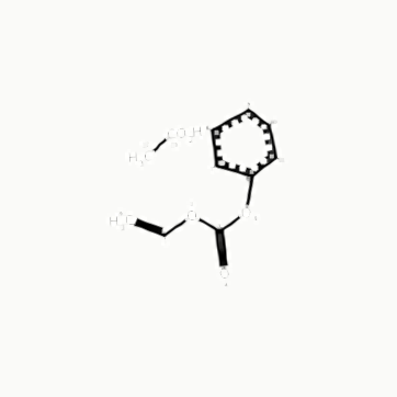 C=COC(=O)Oc1ccccc1.CC(=O)O